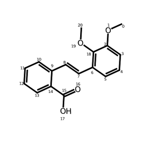 COc1cccc(C=Cc2ccccc2C(=O)O)c1OC